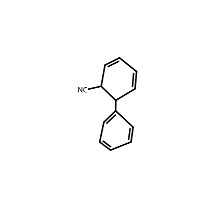 N#CC1C=CC=CC1c1ccccc1